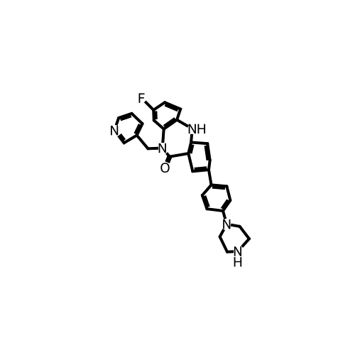 O=C1c2cc(-c3ccc(N4CCNCC4)cc3)ccc2Nc2ccc(F)cc2N1Cc1cccnc1